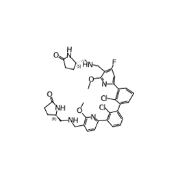 COc1nc(-c2cccc(-c3cccc(-c4cc(F)c(CNC[C@@H]5CCC(=O)N5)c(OC)n4)c3Cl)c2Cl)ccc1CNC[C@H]1CCC(=O)N1